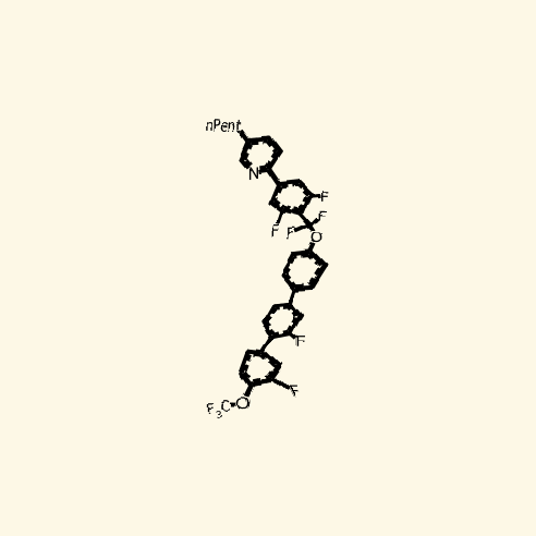 CCCCCc1ccc(-c2cc(F)c(C(F)(F)Oc3ccc(-c4ccc(-c5ccc(OC(F)(F)F)c(F)c5)c(F)c4)cc3)c(F)c2)nc1